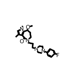 COC1CCN(CCCN2CCN(c3ccc(F)cc3)CC2)C(=O)c2c(C)cn(C)c21